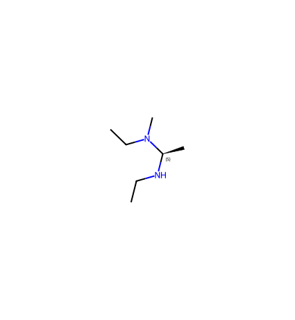 CCN[C@H](C)N(C)CC